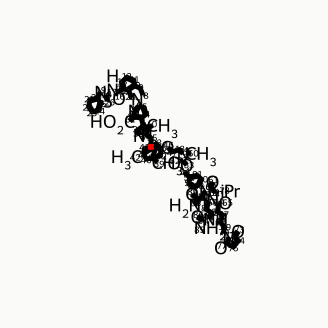 Cc1c(-c2ccc(N3CCc4cccc(C(=O)Nc5nc6ccccc6s5)c4C3)nc2C(=O)O)cnn1CC12CC3(C)CC(C)(C1)CC(OCCN(C)C(=O)OCc1ccc(N(C(=O)[C@@H](NC(=O)CCCCCN4C(=O)C=CC4=O)C(C)C)[C@@H](CCCNC(N)=O)C(N)=O)cc1)(C3)C2